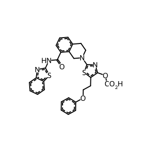 O=C(O)Oc1nc(N2CCc3cccc(C(=O)Nc4nc5ccccc5s4)c3C2)sc1CCOc1ccccc1